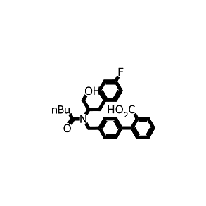 CCCCC(=O)N(Cc1ccc(-c2ccccc2C(=O)O)cc1)C(CO)Cc1ccc(F)cc1